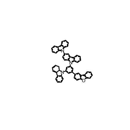 C1=CCC2C(=C1)c1ccccc1N2c1cc(-c2ccc3oc4ccccc4c3c2)cc(-n2c3ccccc3c3cc(-n4c5ccccc5c5ccccc54)ccc32)c1